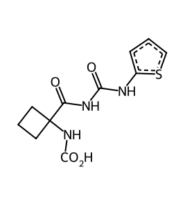 O=C(O)NC1(C(=O)NC(=O)Nc2cccs2)CCC1